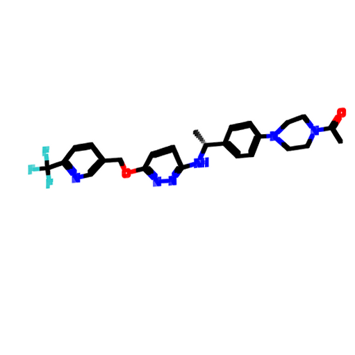 CC(=O)N1CCN(c2ccc([C@@H](C)Nc3ccc(OCc4ccc(C(F)(F)F)nc4)nn3)cc2)CC1